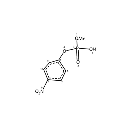 COP(=O)(O)Oc1ccc([N+](=O)[O-])cc1